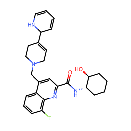 O=C(N[C@H]1CCCC[C@@H]1O)c1cc(CN2CC=C(C3C=CC=CN3)CC2)c2cccc(F)c2n1